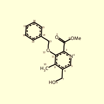 COC(=O)c1ncc(CO)c(C)c1OCc1ccccc1